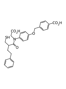 O=C(O)CN(C(=O)C(CS)CCc1ccccc1)c1ccc(OCc2ccc(C(=O)O)cc2)cc1